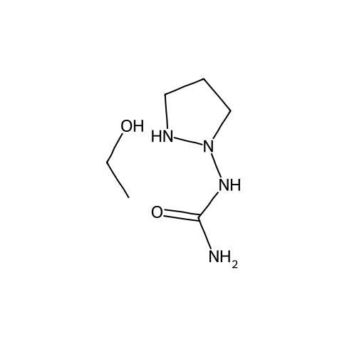 CCO.NC(=O)NN1CCCN1